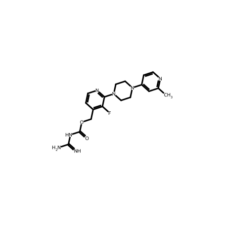 Cc1cc(N2CCN(c3nccc(COC(=O)NC(=N)N)c3F)CC2)ccn1